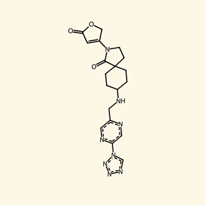 O=C1C=C(N2CCC3(CCC(NCc4cnc(-n5cnnn5)cn4)CC3)C2=O)CO1